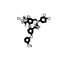 CCOP(=O)(OCC)C(F)(F)c1ccc(CN(c2ccc(Cl)c(Cl)c2)c2nnc(-c3cccc(Oc4cccc(C#N)c4)c3)s2)cc1Br